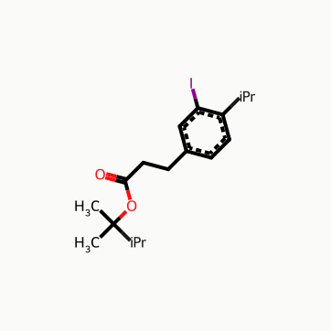 CC(C)c1ccc(CCC(=O)OC(C)(C)C(C)C)cc1I